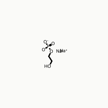 O=P([O-])([O-])OCCO.[Na+].[Na+]